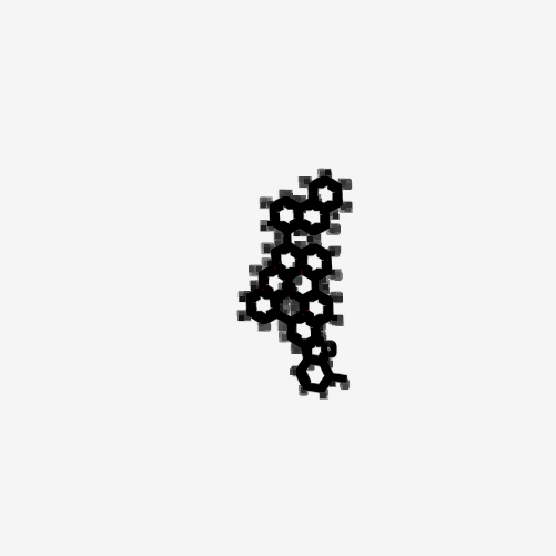 CC1CC=Cc2c1oc1ccc(-c3ccccc3N(c3ccc(-c4cccc5c4ccc4ccccc45)cc3)c3ccccc3-c3ccccc3-c3ccccc3)cc21